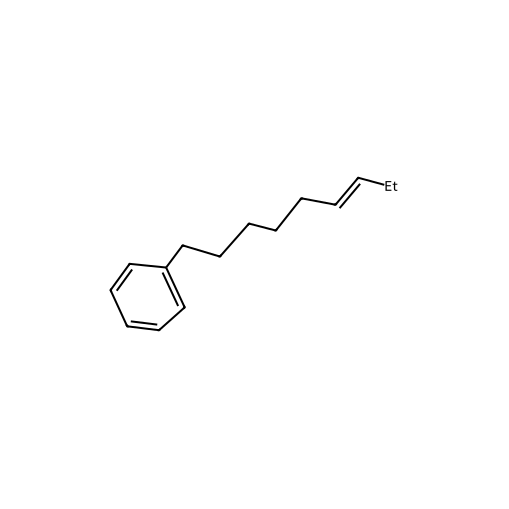 [CH2]CC=CCCCCCc1ccccc1